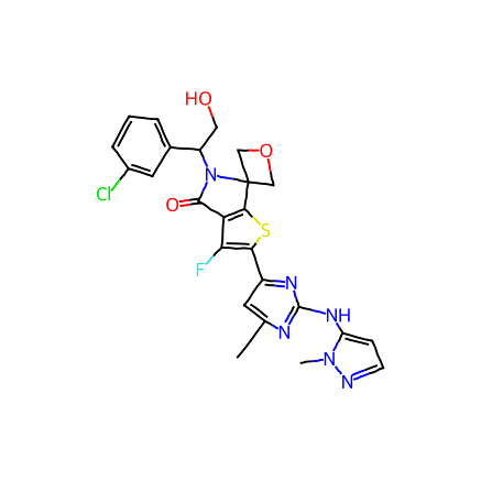 Cc1cc(-c2sc3c(c2F)C(=O)N(C(CO)c2cccc(Cl)c2)C32COC2)nc(Nc2ccnn2C)n1